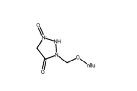 CCCCOCN1N[N+](=O)CC1=O